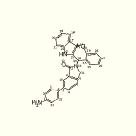 Nc1ccc(-c2ccc3c(c2)C(=O)N([C@@H](c2cc4ccccc4[nH]2)c2ccccc2O)C3)cc1